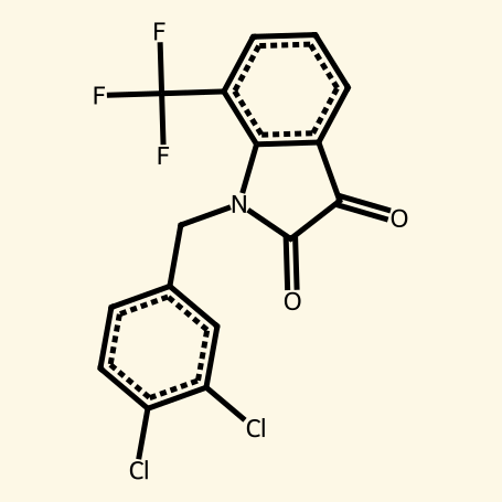 O=C1C(=O)N(Cc2ccc(Cl)c(Cl)c2)c2c1cccc2C(F)(F)F